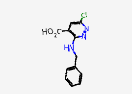 O=C(O)c1cc(Cl)nnc1NCc1ccccc1